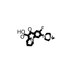 CN1CCN(c2cc3c(cc2F)c(=O)c(C(=O)O)c2ccccn23)CC1